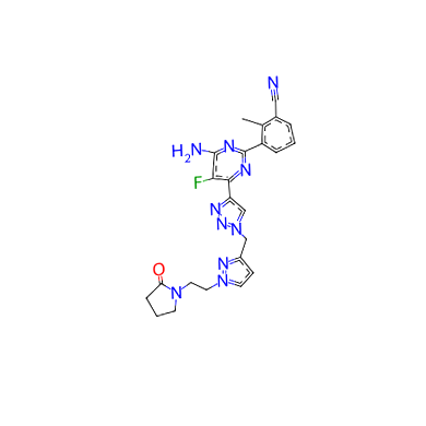 Cc1c(C#N)cccc1-c1nc(N)c(F)c(-c2cn(Cc3ccn(CCN4CCCC4=O)n3)nn2)n1